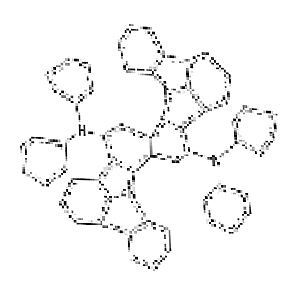 c1ccc(N(c2ccccc2)c2cc3c(cc(N(c4ccccc4)c4ccccc4)c4c5cccc6c7ccccc7n(c65)c34)c3c2c2cccc4c5ccccc5n3c42)cc1